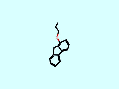 CCCOc1cccc2c1[CH]c1ccccc1-2